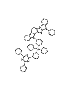 c1ccc(-c2nc(-c3ccccc3)nc(-c3cccc([Si](c4ccccc4)(c4ccccc4)c4cccc(-n5c6ccccc6c6ccc7c(nc8n(-c9ccccc9)c9ccccc9n78)c65)c4)c3)n2)cc1